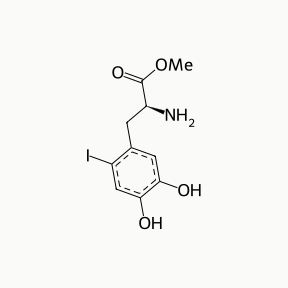 COC(=O)[C@@H](N)Cc1cc(O)c(O)cc1I